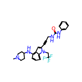 CN1CCC(Nc2cccc3c2cc(C#CCNC(=O)Nc2ccccc2)n3CC(F)(F)F)CC1